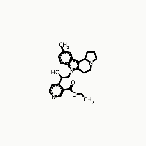 CCOC(=O)c1cnccc1C(O)Cn1c2c(c3cc(C)ccc31)C1CCCN1CC2